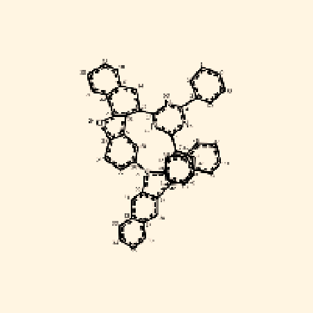 c1ccc(-c2nc(-c3ccccc3)nc(-c3cc4ccccc4c4oc5ccc(-n6c7cc8ccccc8cc7c7cc8ccccc8cc76)cc5c34)n2)cc1